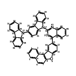 c1ccc2c(c1)ccc1oc3ccc(-c4nc(-n5c6ccccc6c6cc(-n7c8ccccc8c8ccccc87)ccc65)nc5ccccc45)cc3c12